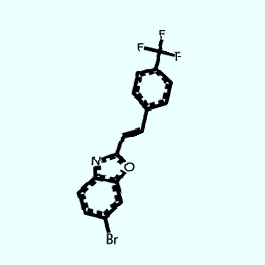 FC(F)(F)c1ccc(C=Cc2nc3ccc(Br)cc3o2)cc1